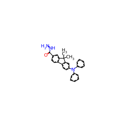 CC1(C)c2cc(C(=O)NN)ccc2-c2ccc(N(c3ccccc3)c3ccccc3)cc21